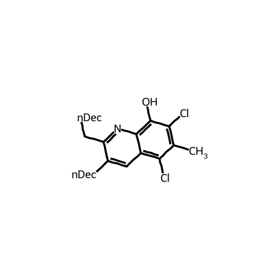 CCCCCCCCCCCc1nc2c(O)c(Cl)c(C)c(Cl)c2cc1CCCCCCCCCC